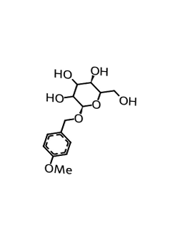 COc1ccc(CO[C@@H]2OC(CO)[C@H](O)C(O)C2O)cc1